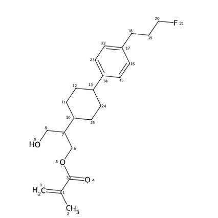 C=C(C)C(=O)OCC(CO)C1CCC(c2ccc(CCCF)cc2)CC1